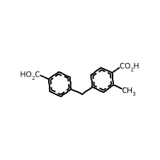 Cc1cc(Cc2ccc(C(=O)O)cc2)ccc1C(=O)O